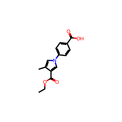 CCOC(=O)c1cn(-c2ccc(C(=O)O)cc2)cc1C